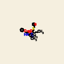 CCCC[C@H](NC(=O)[C@H](CC(C)C)NC(=O)COc1ccccc1)C(=O)CSCc1ccco1